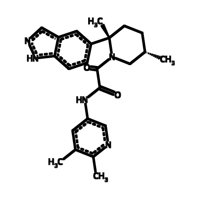 Cc1cc(NC(=O)C(=O)N2C[C@@H](C)CC[C@@]2(C)c2ccc3[nH]ncc3c2)cnc1C